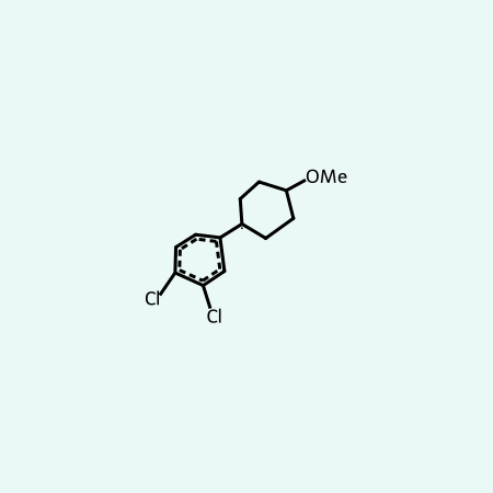 COC1CC[C](c2ccc(Cl)c(Cl)c2)CC1